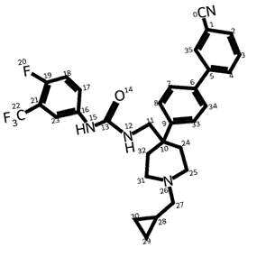 N#Cc1cccc(-c2ccc(C3(CNC(=O)Nc4ccc(F)c(C(F)(F)F)c4)CCN(CC4CC4)CC3)cc2)c1